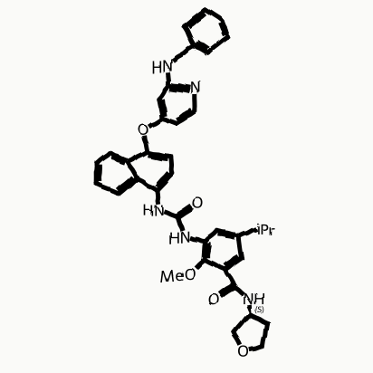 COc1c(NC(=O)Nc2ccc(Oc3ccnc(Nc4ccccc4)c3)c3ccccc23)cc(C(C)C)cc1C(=O)N[C@H]1CCOC1